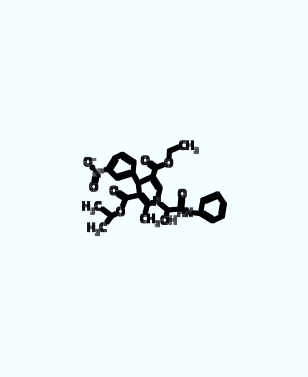 CCOC(=O)C1=CN(C(O)C(=O)Nc2ccccc2)C(C)=C(C(=O)OC(C)C)C1c1cccc([N+](=O)[O-])c1